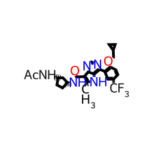 CC(=O)N[C@@H]1CC[C@H](NC(=O)c2c(C)[nH]c3c(-c4cc(C(F)(F)F)ccc4OCC4CC4)ncnc23)C1